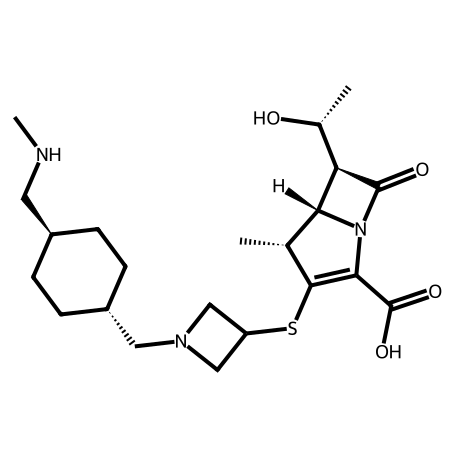 CNC[C@H]1CC[C@H](CN2CC(SC3=C(C(=O)O)N4C(=O)[C@H]([C@@H](C)O)[C@H]4[C@H]3C)C2)CC1